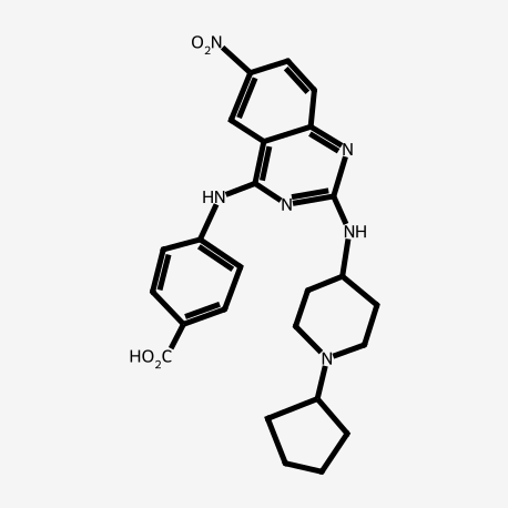 O=C(O)c1ccc(Nc2nc(NC3CCN(C4CCCC4)CC3)nc3ccc([N+](=O)[O-])cc23)cc1